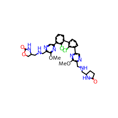 COc1nc(-c2cccc(-c3cccc(-c4cnc(CNCC5COC(=O)N5)c(OC)n4)c3Cl)c2Cl)cnc1CNCC1CCC(=O)N1